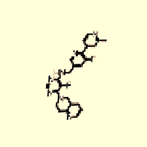 Cc1cc(-c2ncc(CNc3ncnc(N4CCc5ncccc5C4)c3F)cc2F)ccn1